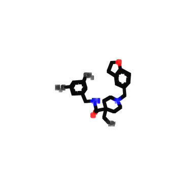 Cc1cc(C)cc(CNC(=O)C2(CC(C)C)CCN(Cc3ccc4c(c3)CCO4)CC2)c1